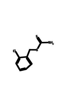 NC(=S)SCc1ccccc1Cl